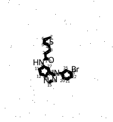 O=C(C=Cc1cccs1)Nc1ccc2ncnc(Nc3cccc(Br)c3)c2c1